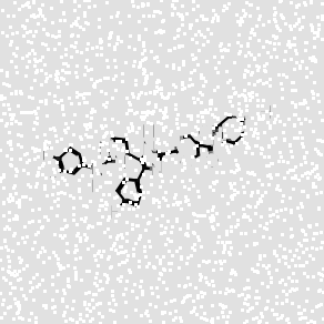 CN1CCN(C(=O)C2(C)COC(c3nc(-c4ccc(F)cc4)c(-c4ccnc(Nc5ccc(F)c(F)c5)n4)[nH]3)OC2)CC1